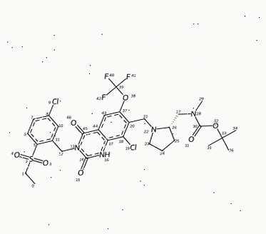 CCS(=O)(=O)c1ccc(Cl)cc1Cn1c(=O)[nH]c2c(Cl)c(CN3CCC[C@H]3CN(C)C(=O)OC(C)(C)C)c(OC(F)(F)F)cc2c1=O